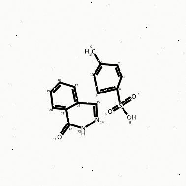 Cc1ccc(S(=O)(=O)O)cc1.O=c1[nH]ncc2ccccc12